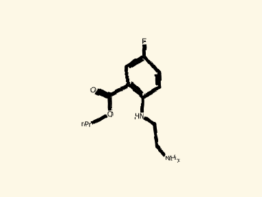 CCCOC(=O)c1cc(F)ccc1NCCN